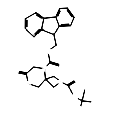 CC(C)(C)OC(=O)N1CC2(CNC(=O)CN2C(=O)OCC2c3ccccc3-c3ccccc32)C1